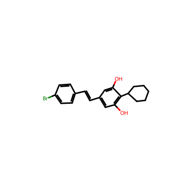 Oc1cc(/C=C/c2ccc(Br)cc2)cc(O)c1C1CCCCC1